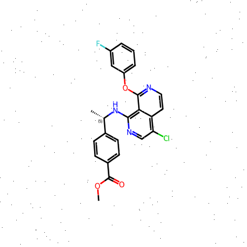 COC(=O)c1ccc([C@H](C)Nc2ncc(Cl)c3ccnc(Oc4cccc(F)c4)c23)cc1